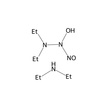 CCN(CC)N(O)N=O.CCNCC